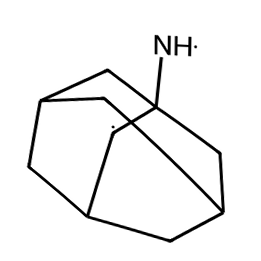 [NH]C12[CH]C3CC(CC(C3)C1)C2